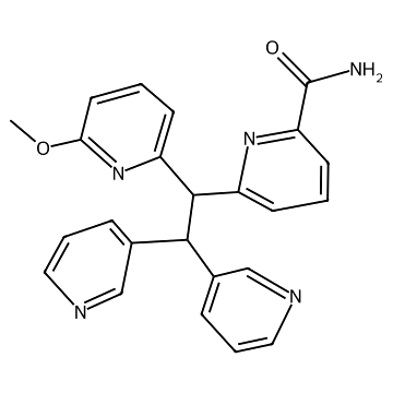 COc1cccc(C(c2cccc(C(N)=O)n2)C(c2cccnc2)c2cccnc2)n1